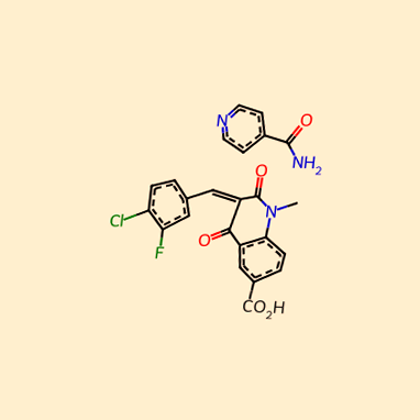 CN1C(=O)/C(=C/c2ccc(Cl)c(F)c2)C(=O)c2cc(C(=O)O)ccc21.NC(=O)c1ccncc1